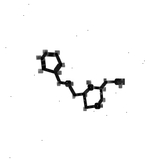 OCC1COCC(COCc2ccccc2)O1